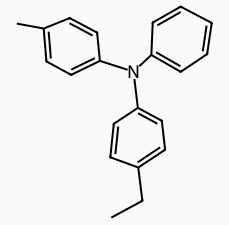 CCc1ccc(N(c2ccccc2)c2ccc(C)cc2)cc1